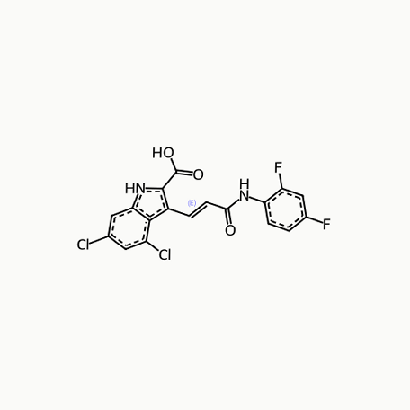 O=C(/C=C/c1c(C(=O)O)[nH]c2cc(Cl)cc(Cl)c12)Nc1ccc(F)cc1F